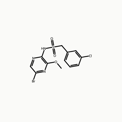 COc1nc(Br)cnc1NS(=O)(=O)Cc1cccc(Cl)c1